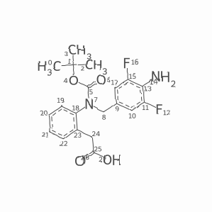 CC(C)(C)OC(=O)N(Cc1cc(F)c(N)c(F)c1)c1ccccc1CC(=O)O